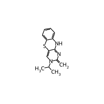 C=C1N=C2Nc3ccccc3SC2=CN1C(C)C